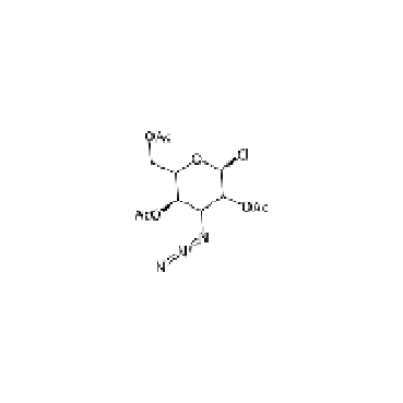 CC(=O)OCC1O[C@@H](Cl)C(OC(C)=O)C(N=[N+]=[N-])[C@H]1OC(C)=O